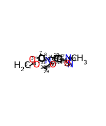 C=CC(=O)Oc1cccc(N(CC23CCC(c4nc(C)no4)(CC2)CC3)C(=O)C2CC2)c1